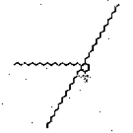 CCCCCCCCCCCCCCCCCCc1ccc(S(=O)(=O)O)c(CCCCCCCCCCCCCCCCCC)c1CCCCCCCCCCCCCCCCCC